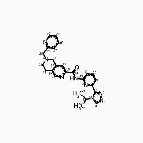 CC(C)n1cnnc1-c1cccc(NC(=O)c2cc3c(cn2)CCN(Cc2ccccn2)C3)n1